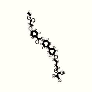 C=COC(=O)CCOc1ccc(C(=O)Sc2ccc(-c3ccc(OCCCCOC(=O)C(=C)F)cc3)cc2)cc1